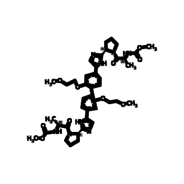 COCCOc1cc(-c2cnc([C@@H]3CCCN3C(=O)[C@H](C)NC(=O)OC)[nH]2)ccc1-c1ccc(-c2cnc([C@@H]3CCCN3C(=O)[C@H](C)NC(=O)OC)[nH]2)cc1OCCOC